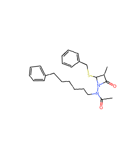 CC(=O)N(CCCCCCc1ccccc1)N1C(=O)C(C)C1SCc1ccccc1